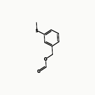 CSc1cccc(COC=O)c1